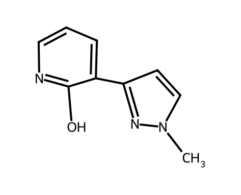 Cn1ccc(-c2cccnc2O)n1